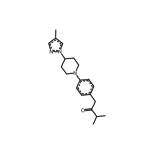 Cc1cnn(C2CCN(c3ccc(CC(=O)C(C)C)cc3)CC2)c1